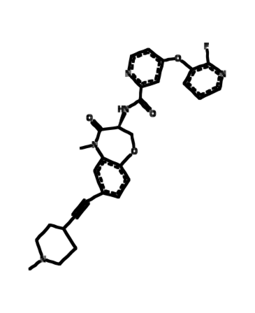 CN1CCC(C#Cc2ccc3c(c2)N(C)C(=O)[C@@H](NC(=O)c2cc(Oc4cccnc4F)ccn2)CO3)CC1